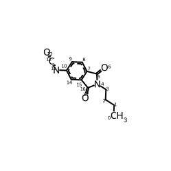 CCCCN1C(=O)c2ccc(N=C=O)cc2C1=O